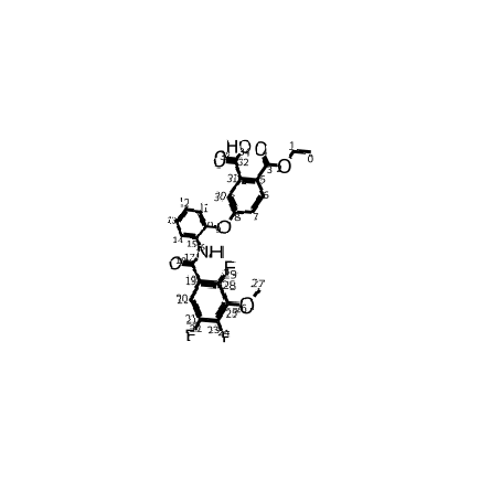 CCOC(=O)c1ccc(Oc2ccccc2NC(=O)c2cc(F)c(F)c(OC)c2F)cc1C(=O)O